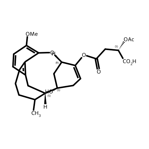 COc1ccc2c3c1O[C@@H]1C[C@@](O)(CC=C1OC(=O)C[C@H](OC(C)=O)C(=O)O)[C@@H](C2)C(C)CCC3